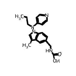 CCCN(c1ccncc1)n1cc(C)c2cc(CNC(=O)O)ccc21